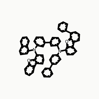 c1ccc(-c2ccc(N(c3cccc(-c4cccc(N(c5cccc6ccccc56)c5cccc6c5oc5ccccc56)c4)c3)c3cccc4c3oc3c(-c5ccccc5)cccc34)cc2)cc1